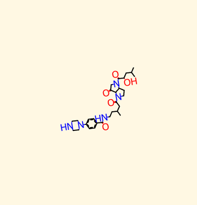 CC(C)CC(O)C(=O)N1CC(=O)C2C1CCN2C(=O)CC(C)CCNC(=O)c1ccc(N2CCNCC2)cc1